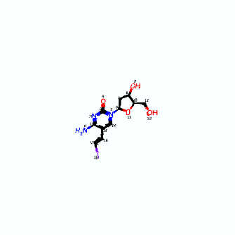 Nc1nc(=O)n([C@H]2CC(O)[C@@H](CO)O2)cc1/C=C/I